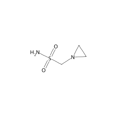 NS(=O)(=O)CN1CC1